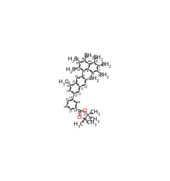 Bc1c(B)c(B)c2c(-c3ccc4cc(-c5cccc(B6OC(C)(C)C(C)(C)O6)c5)cc(C)c4c3)c(B)c(B)c(B)c2c1B